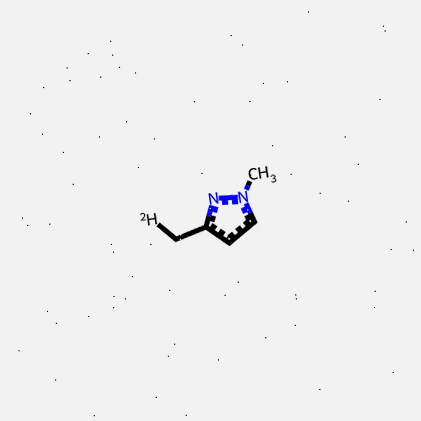 [2H]Cc1ccn(C)n1